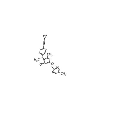 Cc1cnc(COc2cc(C)n([C@H](C)c3ccc(C#CC4CC4)cc3)c(=O)c2)nc1